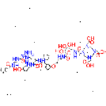 CCC(=O)NCCNC(=O)/N=C(/N)NCCC[C@@H](NC(=O)C(c1ccccc1)c1cccc(OCCCCNC(=O)C2OC(CNC(=O)CN3CCN(CC(=O)O)CCN(CC(=O)O)CCN(CC(=O)O)CC3)C(O)C(O)C2O)c1)C(=O)NCc1ccc(O)cc1